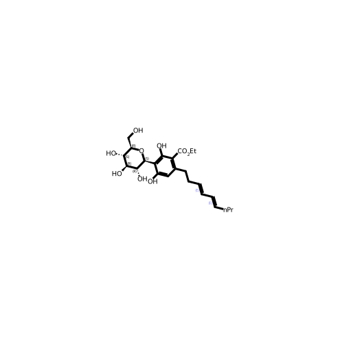 CCC/C=C/C=C/CCc1cc(O)c([C@@H]2O[C@H](CO)[C@@H](O)[C@H](O)[C@H]2O)c(O)c1C(=O)OCC